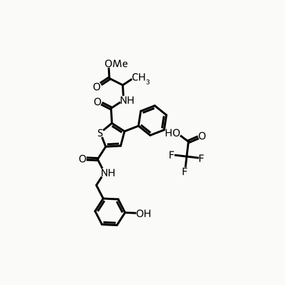 COC(=O)C(C)NC(=O)c1sc(C(=O)NCc2cccc(O)c2)cc1-c1ccccc1.O=C(O)C(F)(F)F